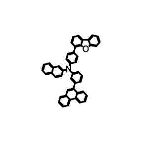 c1cc(-c2cc3ccccc3c3ccccc23)cc(N(c2ccc(-c3cccc4c3oc3ccccc34)cc2)c2ccc3ccccc3c2)c1